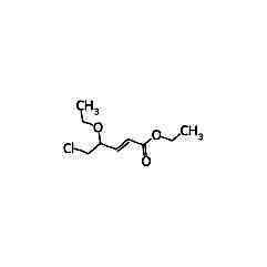 CCOC(=O)C=CC(CCl)OCC